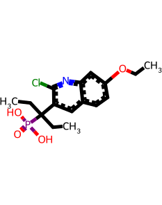 CCOc1ccc2cc(C(CC)(CC)P(=O)(O)O)c(Cl)nc2c1